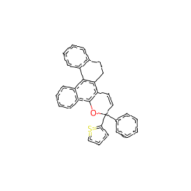 C1=CC(c2ccccc2)(c2cccs2)Oc2c1c1c(c3ccccc23)-c2ccccc2CC1